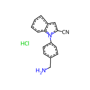 Cl.N#Cc1cc2ccccc2n1-c1ccc(CN)cc1